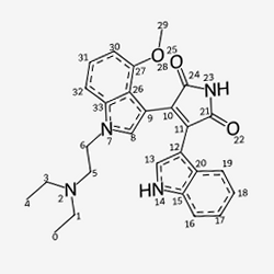 CCN(CC)CCn1cc(C2=C(c3c[nH]c4ccccc34)C(=O)NC2=O)c2c(OC)cccc21